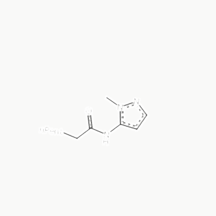 CCCCCCC(=O)Nc1ccnn1C